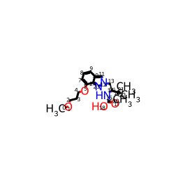 COCCCOc1cccc2cn(C[C@H](NC(=O)O)C(C)(C)C)nc12